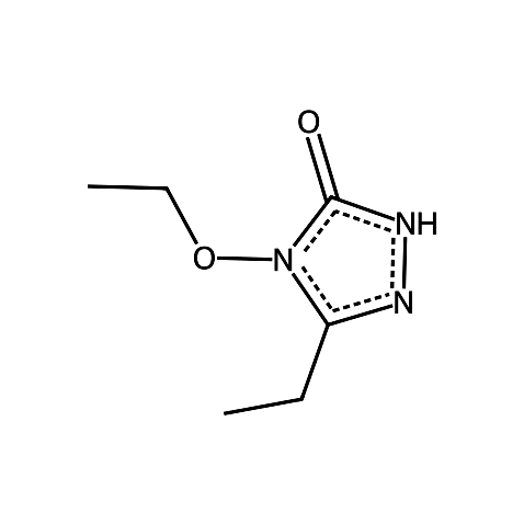 CCOn1c(CC)n[nH]c1=O